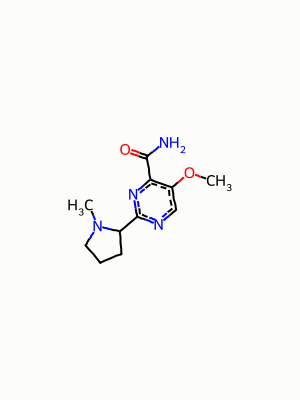 COc1cnc(C2CCCN2C)nc1C(N)=O